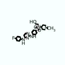 CN1CCC(N(CCO)S(=O)(=O)c2ccc(Nc3nccc(Nc4ccc(F)cc4)n3)cc2)CC1